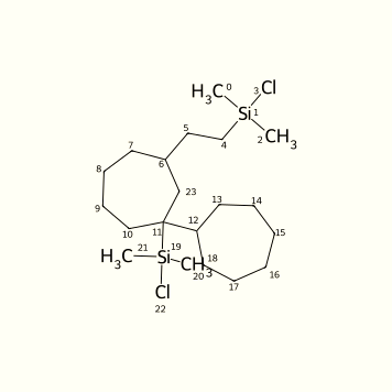 C[Si](C)(Cl)CCC1CCCCC(C2CCCCCC2)([Si](C)(C)Cl)C1